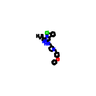 Bc1cnn2c(NCC3CCCN(Cc4ccc(Oc5ccccc5)cc4)C3)cc(-c3ccccc3Cl)nc12